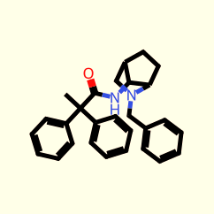 CC(C(=O)NC1C2CCC1N(Cc1ccccc1)C2)(c1ccccc1)c1ccccc1